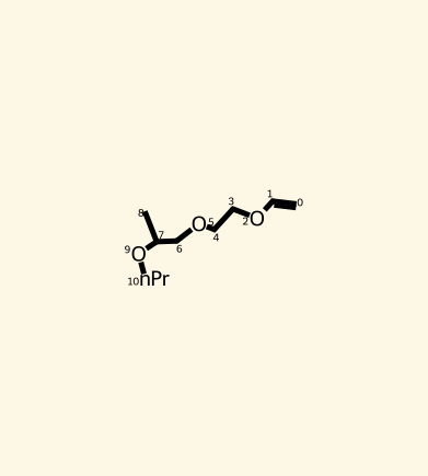 C=COCCOCC(C)OC[CH]C